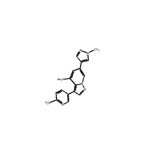 COc1cc(-c2cnn(C)c2)cn2ncc(-c3ccc(N)nc3)c12